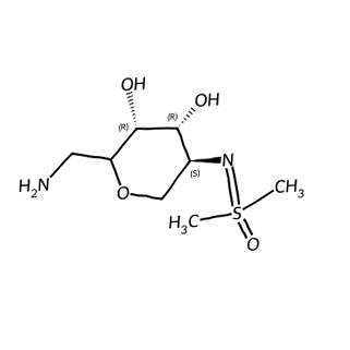 CS(C)(=O)=N[C@H]1COC(CN)[C@H](O)[C@@H]1O